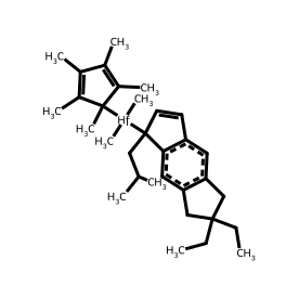 CCC1(CC)Cc2cc3c(cc2C1)[C](CC(C)C)([Hf]([CH3])([CH3])[C]1(C)C(C)=C(C)C(C)=C1C)C=C3